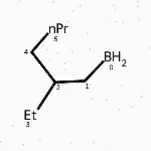 BCC(CC)CCCC